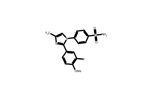 COc1ccc(-c2nc(C(F)(F)F)cn2-c2ccc(S(N)(=O)=O)cc2)cc1F